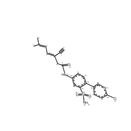 C#C/C(=C\C=C(C)C)CC(=O)Nc1ccc(-c2ccc(Cl)nc2)c(S(N)(=O)=O)c1